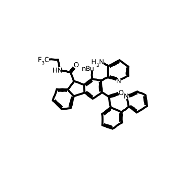 CCCCc1c(-c2ncccc2N)c(C(=O)c2ccccc2-c2ccccn2)cc2c1C(C(=O)NCC(F)(F)F)c1ccccc1-2